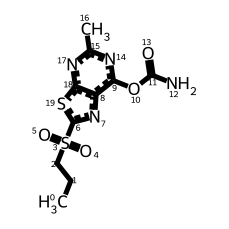 CCCS(=O)(=O)c1nc2c(OC(N)=O)nc(C)nc2s1